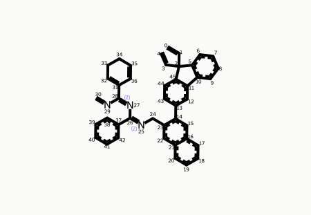 C=CC1(C=C)c2ccccc2-c2cc(-c3cc4ccccc4cc3C/N=C(\N=C(/N=C)C3=CCCC=C3)c3ccccc3)ccc21